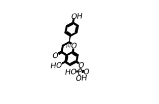 O=C1C[C@@H](c2ccc(O)cc2)Oc2cc(OP(=O)(O)O)cc(O)c21